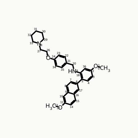 COc1ccc(-c2ccc3cc(OC)ccc3c2)c(NCc2ccc(OCCN3CCCCC3)cc2)c1